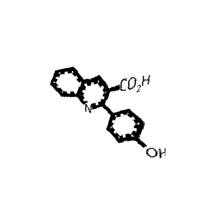 O=C(O)c1cc2ccccc2nc1-c1ccc(O)cc1